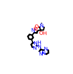 CN1CC[C@@](O)(c2cc(-c3cccc(-c4ccnc(Nc5cnn6cccnc56)n4)c3)no2)C1=O